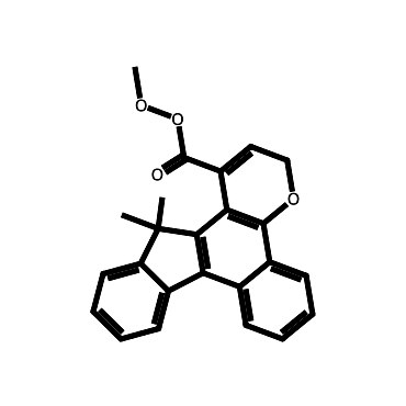 COOC(=O)C1=CCOc2c1c1c(c3ccccc23)-c2ccccc2C1(C)C